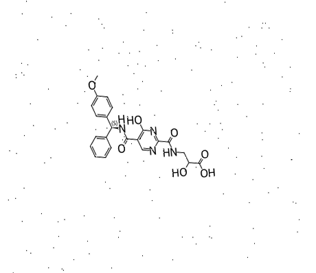 COc1ccc([C@@H](NC(=O)c2cnc(C(=O)NCC(O)C(=O)O)nc2O)c2ccccc2)cc1